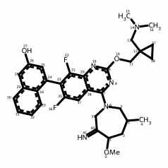 COC1CC(C)CN(c2nc(OCC3(CN(C)C)CC3)nc3c(F)c(-c4cc(O)cc5ccccc45)c(F)cc23)CC1=N